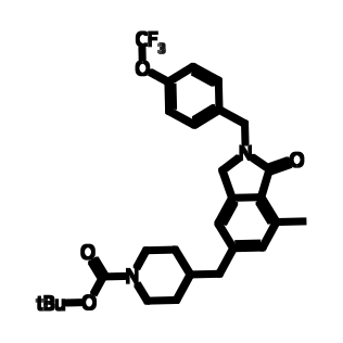 Cc1cc(CC2CCN(C(=O)OC(C)(C)C)CC2)cc2c1C(=O)N(Cc1ccc(OC(F)(F)F)cc1)C2